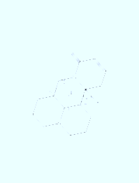 B[C@]12CCCN3CCC[C@](S)(C4(S)CC=CC(=O)N4C1)[C@@]32B